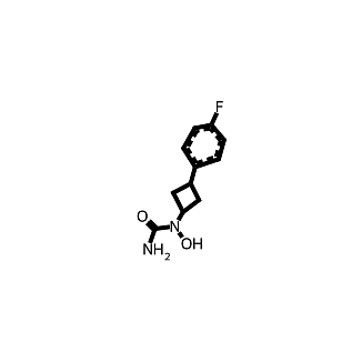 NC(=O)N(O)C1CC(c2ccc(F)cc2)C1